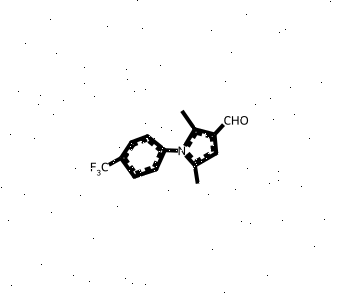 Cc1cc(C=O)c(C)n1-c1ccc(C(F)(F)F)cc1